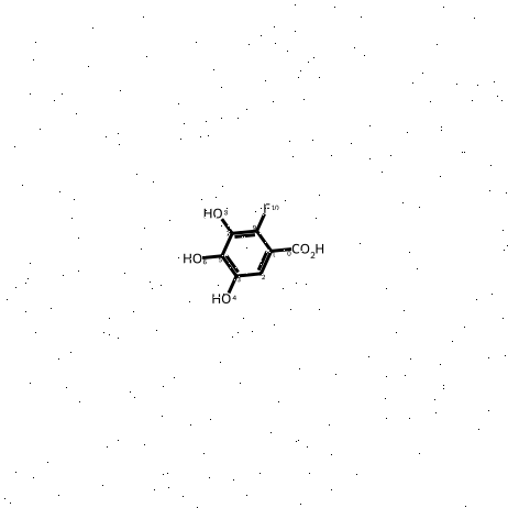 O=C(O)c1cc(O)c(O)c(O)c1F